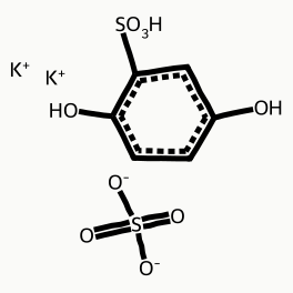 O=S(=O)(O)c1cc(O)ccc1O.O=S(=O)([O-])[O-].[K+].[K+]